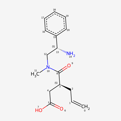 C=CC[C@@H](CC(=O)O)C(=O)N(C)C[C@@H](N)c1ccccc1